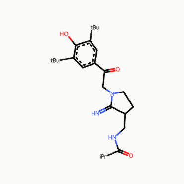 CC(C)C(=O)NCC1CCN(CC(=O)c2cc(C(C)(C)C)c(O)c(C(C)(C)C)c2)C1=N